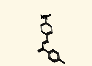 C=C(/C=C/C1=CCC(NC)CC1)c1ccc(C)cc1